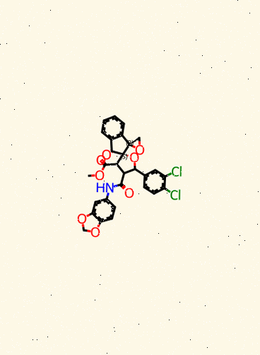 COC(=O)C1C(C(=O)Nc2ccc3c(c2)OCO3)C(c2ccc(Cl)c(Cl)c2)O[C@@]12C(=O)c1ccccc1[C@@]21CO1